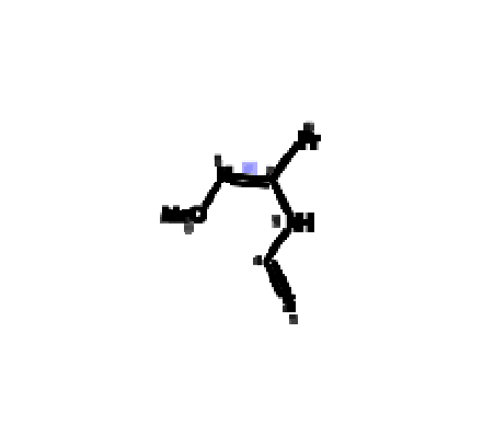 CO/N=C(\NC=S)C(C)C